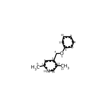 Cc1cc(COc2[c]cccc2)c(C)cn1